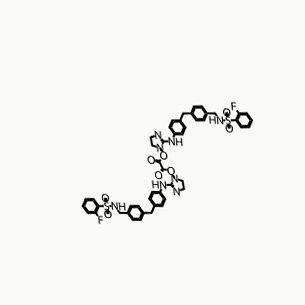 O=C(ON1CCN=C1Nc1ccc(Cc2ccc(CNS(=O)(=O)c3ccccc3F)cc2)cc1)C(=O)ON1CCN=C1Nc1ccc(Cc2ccc(CNS(=O)(=O)c3ccccc3F)cc2)cc1